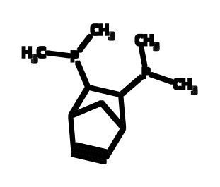 CP(C)C1C2C#CC(C2)C1P(C)C